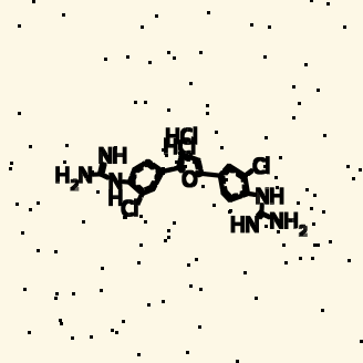 Cl.Cl.N=C(N)Nc1ccc(-c2ccc(-c3ccc(NC(=N)N)c(Cl)c3)o2)cc1Cl